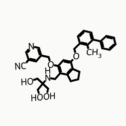 Cc1c(COc2cc(OCc3cncc(C#N)c3)c(CNC(CO)(CO)CO)c3c2CCC3)cccc1-c1ccccc1